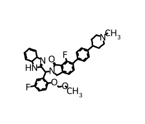 COCOc1ccc(F)cc1C(C1=NC2C=CC=CC2N1)N1Cc2ccc(-c3ccc(C4CCN(C)CC4)cc3)c(F)c2C1=O